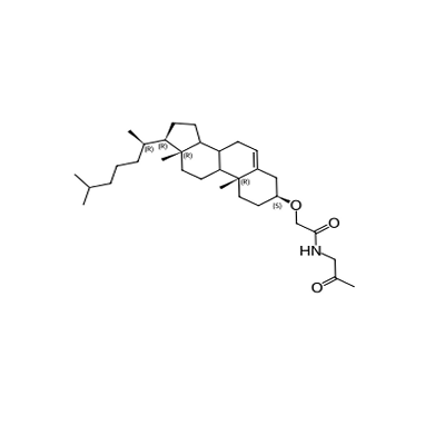 CC(=O)CNC(=O)CO[C@H]1CC[C@@]2(C)C(=CCC3C2CC[C@@]2(C)C3CC[C@@H]2[C@H](C)CCCC(C)C)C1